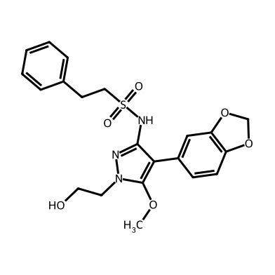 COc1c(-c2ccc3c(c2)OCO3)c(NS(=O)(=O)CCc2ccccc2)nn1CCO